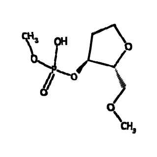 COC[C@H]1OCC[C@@H]1OP(=O)(O)OC